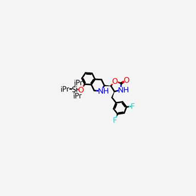 CC(C)[Si](Oc1cccc2c1CNC([C@H]1OC(=O)N[C@H]1Cc1cc(F)cc(F)c1)C2)(C(C)C)C(C)C